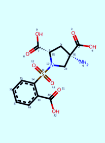 N[C@@]1(C(=O)O)C[C@@H](C(=O)O)N(S(=O)(=O)c2ccccc2C(=O)O)C1